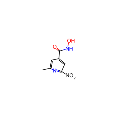 Cc1cc(C(=O)NO)cc([N+](=O)[O-])n1